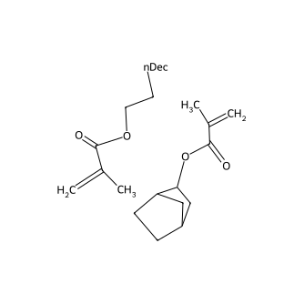 C=C(C)C(=O)OC1CC2CCC1C2.C=C(C)C(=O)OCCCCCCCCCCCC